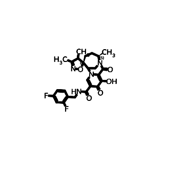 CC1=NO[C@]2(CC[C@H](C)N3CC2n2cc(C(=O)NCc4ccc(F)cc4F)c(=O)c(O)c2C3=O)C1C